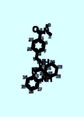 CN(C)C(=O)c1ccc(CNC2=Nc3ccccc3NC23CCCCC3)cc1